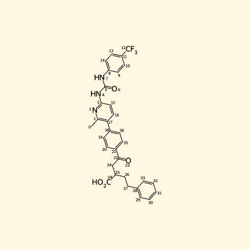 Cc1nc(NC(=O)Nc2ccc(C(F)(F)F)cc2)ccc1-c1ccc(C(=O)CC(CCc2ccccc2)C(=O)O)cc1